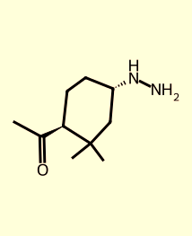 CC(=O)[C@H]1CC[C@H](NN)CC1(C)C